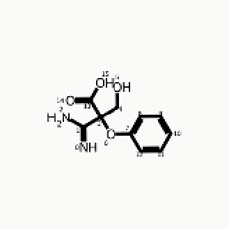 N=C(N)C(CO)(Oc1ccccc1)C(=O)O